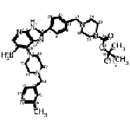 Bc1cnc2[nH]c(-c3ccc(CN4CCN(C(=O)OC(C)(C)C)CC4)cc3)nc2c1N1CCN(Cc2ccnc(C)c2)CC1